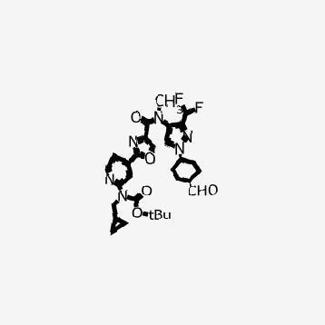 CN(C(=O)c1coc(-c2ccnc(N(CC3CC3)C(=O)OC(C)(C)C)c2)n1)c1cn([C@H]2CC[C@H](C=O)CC2)nc1C(F)F